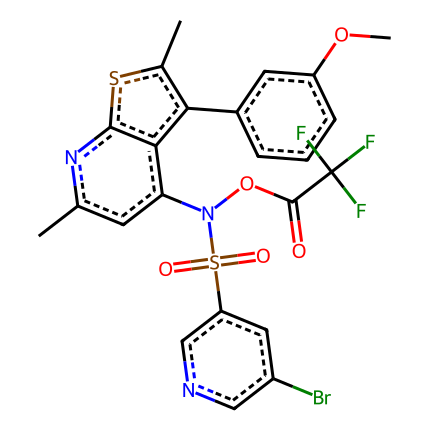 COc1cccc(-c2c(C)sc3nc(C)cc(N(OC(=O)C(F)(F)F)S(=O)(=O)c4cncc(Br)c4)c23)c1